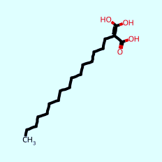 CCCCCCCCCCCCCCCCC(C(=O)O)=C(O)O